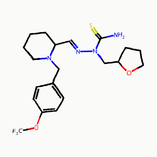 NC(=S)N(CC1CCCO1)N=CC1CCCCN1Cc1ccc(OC(F)(F)F)cc1